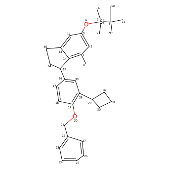 Cc1cc(O[Si](C)(C)C(C)(C)C)cc2c1C(c1ccc(OCc3ccccc3)c(C3CCC3)c1)CC2